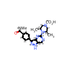 CNC(=O)c1ccc(-c2n[nH]c3cnc(N4[C@H](C)CN(C(=O)O)C[C@@H]4C)nc23)cc1